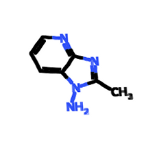 Cc1nc2ncccc2n1N